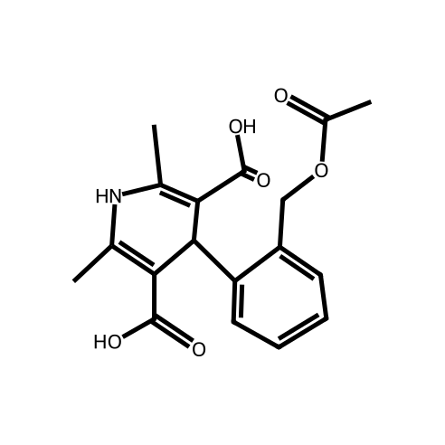 CC(=O)OCc1ccccc1C1C(C(=O)O)=C(C)NC(C)=C1C(=O)O